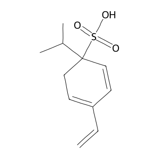 C=CC1=CCC(C(C)C)(S(=O)(=O)O)C=C1